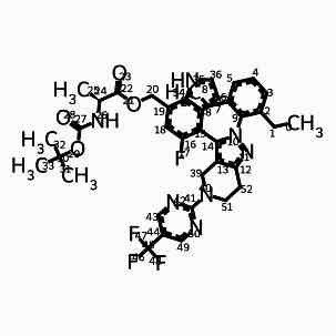 CCc1cccc(CC)c1-n1nc2c(c1-c1c(F)cc(COC(=O)[C@H](C)NC(=O)OC(C)(C)C)c3[nH]ccc13)CN(c1ncc(C(F)(F)F)cn1)CC2